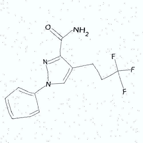 NC(=O)c1nn(-c2ccccc2)cc1CCC(F)(F)F